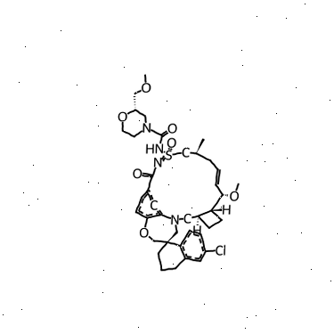 COC[C@@H]1CN(C(=O)N[S@@]2(=O)=NC(=O)c3ccc4c(c3)N(C[C@@H]3CC[C@H]3[C@@H](OC)/C=C/C[C@H](C)C2)C[C@@]2(CCCc3cc(Cl)ccc32)CO4)CCO1